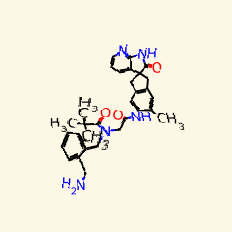 Cc1cc2c(cc1NC(=O)CN(Cc1ccccc1CN)C(=O)C(C)(C)C)CC1(C2)C(=O)Nc2ncccc21